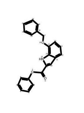 O=C(Oc1ccccc1)c1cc2cccc(OCc3ccccc3)c2[nH]1